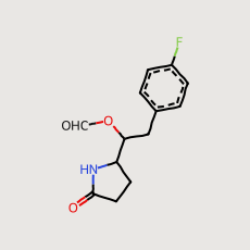 O=COC(Cc1ccc(F)cc1)C1CCC(=O)N1